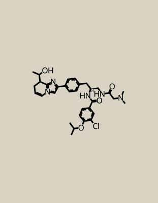 CC(C)Oc1ccc(C(=O)N[C@H](CNC(=O)CN(C)C)Cc2ccc(-c3cn4c(n3)C(C(C)O)CC=C4)cc2)cc1Cl